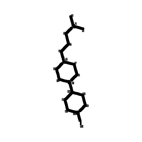 CN(C)CCCN1CCN(C2CCN(I)CC2)CC1